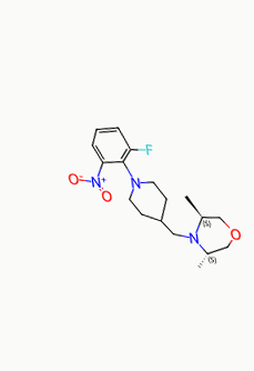 C[C@H]1COC[C@H](C)N1CC1CCN(c2c(F)cccc2[N+](=O)[O-])CC1